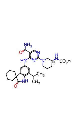 C=C(C)c1cc(Nc2nc(N3CCC[C@H](NC(=O)O)C3)ncc2C(N)=O)cc2c1NC(=O)C21CCCCC1